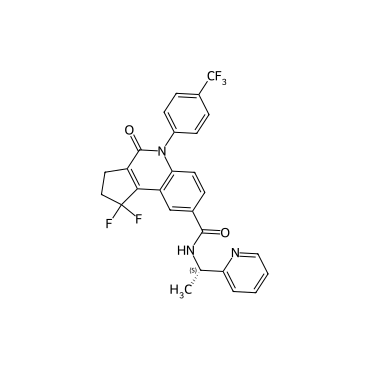 C[C@H](NC(=O)c1ccc2c(c1)c1c(c(=O)n2-c2ccc(C(F)(F)F)cc2)CCC1(F)F)c1ccccn1